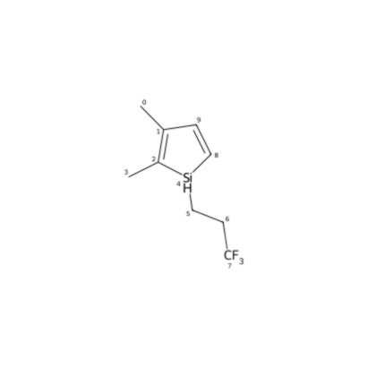 CC1=C(C)[SiH](CCC(F)(F)F)C=C1